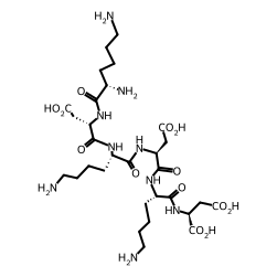 NCCCC[C@H](NC(=O)[C@H](CC(=O)O)NC(=O)[C@H](CCCCN)NC(=O)[C@H](CC(=O)O)NC(=O)[C@@H](N)CCCCN)C(=O)N[C@@H](CC(=O)O)C(=O)O